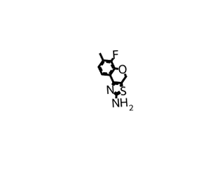 Cc1ccc2c(c1F)OCc1sc(N)nc1-2